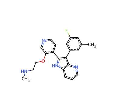 CNCCOc1cnccc1-c1[nH]c2cccnc2c1-c1cc(C)cc(F)c1